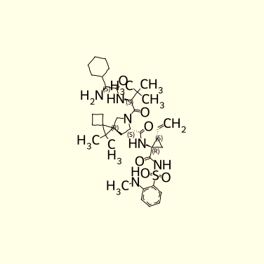 C=C[C@@H]1C[C@]1(NC(=O)[C@@H]1C[C@@]2(CN1C(=O)[C@@H](NC(=O)[C@@H](N)C1CCCCC1)C(C)(C)C)C(C)(C)C21CCC1)C(=O)NS(=O)(=O)c1ccccc1NC